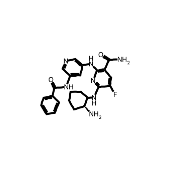 NC(=O)c1cc(F)c(NC2CCCC[C@@H]2N)nc1Nc1cncc(NC(=O)c2ccccc2)c1